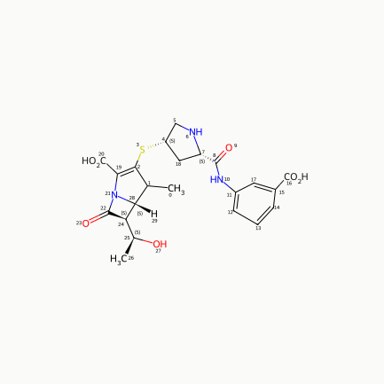 CC1C(S[C@@H]2CN[C@H](C(=O)Nc3cccc(C(=O)O)c3)C2)=C(C(=O)O)N2C(=O)[C@H]([C@H](C)O)[C@@H]12